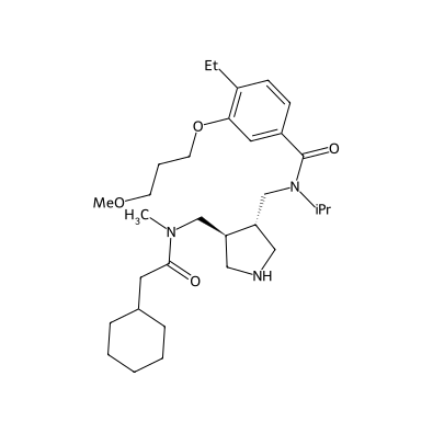 CCc1ccc(C(=O)N(C[C@@H]2CNC[C@H]2CN(C)C(=O)CC2CCCCC2)C(C)C)cc1OCCCOC